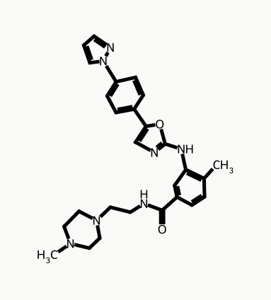 Cc1ccc(C(=O)NCCN2CCN(C)CC2)cc1Nc1ncc(-c2ccc(-n3cccn3)cc2)o1